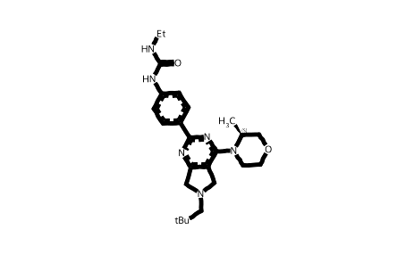 CCNC(=O)Nc1ccc(-c2nc3c(c(N4CCOC[C@@H]4C)n2)CN(CC(C)(C)C)C3)cc1